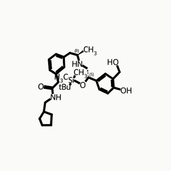 C[C@H](Cc1cccc(CC(=O)NCC2CCCC2)c1)NC[C@@H](O[Si](C)(C)C(C)(C)C)c1ccc(O)c(CO)c1